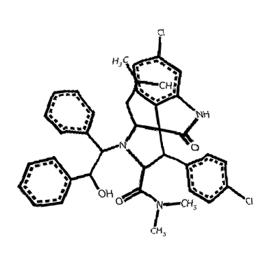 CC(C)CC1N(C(c2ccccc2)C(O)c2ccccc2)C(C(=O)N(C)C)C(c2ccc(Cl)cc2)C12C(=O)Nc1cc(Cl)ccc12